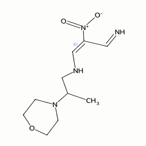 CC(CN/C=C(\C=N)[N+](=O)[O-])N1CCOCC1